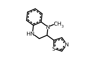 CN1c2ccccc2NCC1c1cncs1